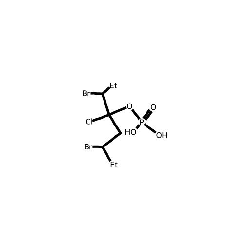 CCC(Br)CC(Cl)(OP(=O)(O)O)C(Br)CC